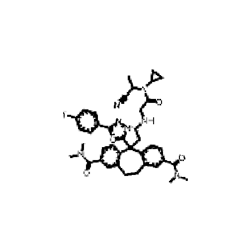 CC(C#N)N(C(=O)CN[C@@H](C)CC1(c2nnc(-c3ccc(F)cc3)o2)c2ccc(C(=O)N(C)C)cc2CCc2cc(C(=O)N(C)C)ccc21)C1CC1